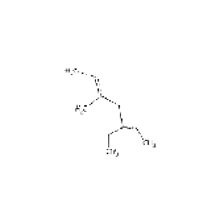 [CH2]/C=C(\C)CC(CC)CC